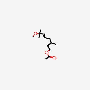 COC(C)(C)/C=C/CC(C)CCOC(C)=O